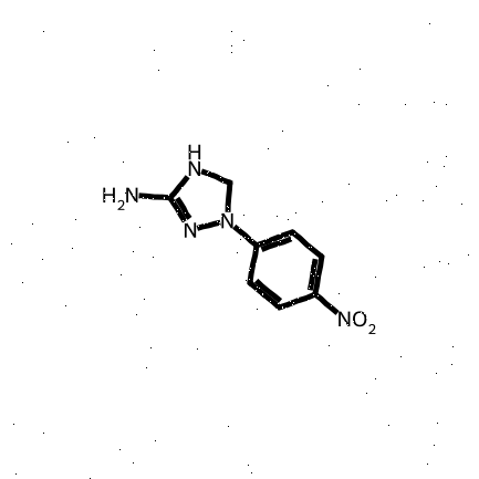 NC1=NN(c2ccc([N+](=O)[O-])cc2)CN1